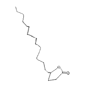 CCCCCCCCCCCCC1CCC(=O)O1